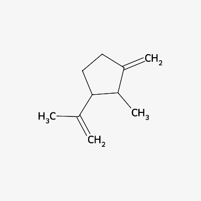 C=C1CCC(C(=C)C)C1C